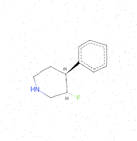 F[C@@H]1CNCC[C@H]1c1ccccc1